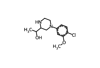 COc1cc(N2CCNC(C(C)O)C2)ccc1Cl